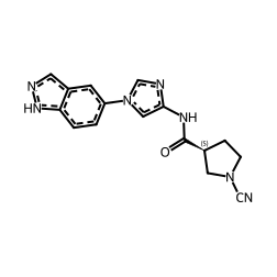 N#CN1CC[C@H](C(=O)Nc2cn(-c3ccc4[nH]ncc4c3)cn2)C1